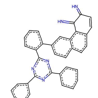 N=C1C=Cc2ccc3ccc(-c4ccccc4-c4nc(-c5ccccc5)nc(-c5ccccc5)n4)cc3c2C1=N